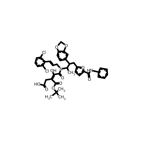 CC(C(Cc1ccc(C(=O)Nc2ccccc2)o1)c1ccc2c(c1)OCO2)N(C/C=C/c1c(Cl)cccc1Cl)C(=O)C(O)=C(CC(=O)O)C(=O)OC(C)(C)C